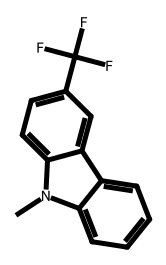 Cn1c2ccccc2c2cc(C(F)(F)F)ccc21